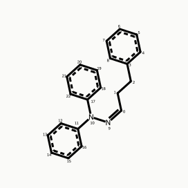 C(/CCc1ccccc1)=N/N(c1ccccc1)c1ccccc1